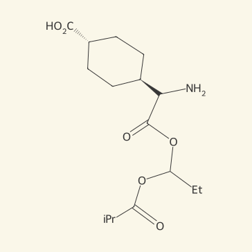 CCC(OC(=O)C(C)C)OC(=O)C(N)[C@H]1CC[C@H](C(=O)O)CC1